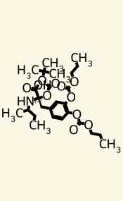 CCCOC(=O)Oc1ccc(C[C@](NC(C)CC)(OC(=O)OC(C)(C)C)C(=O)O)cc1OC(=O)OCCC